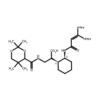 CCCCCCC(=CC(=O)N[C@H]1CCCC[C@H]1C(CNC(=O)C1OC(C)(C)OCC1(C)C)C(=O)O)CCCCCC